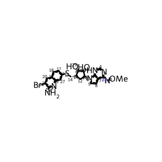 CO/N=c1\nc[nH]c2c1ccn2[C@@H]1C[C@H](CSc2ccc3cc(Br)c(N)nc3c2)[C@@H](O)[C@H]1O